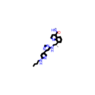 CCCCNc1ccc(-c2cc(NC[C@@H](C)c3cccc4c(C(=O)NC)ccnc34)ncn2)cn1